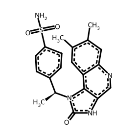 Cc1cc2ncc3[nH]c(=O)n([C@@H](C)c4ccc(S(N)(=O)=O)cc4)c3c2cc1C